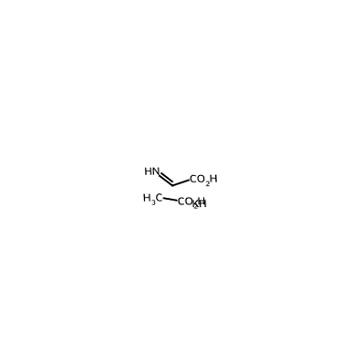 CC(=O)O.N=CC(=O)O.[KH]